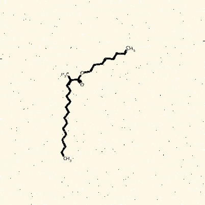 CCCCCCCCCCCCCC=C(C)C(=O)OCCCCCCCC